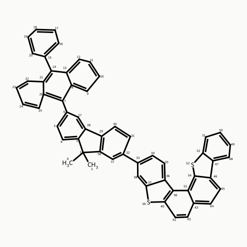 CC1(C)c2ccc(-c3c4ccccc4c(-c4ccccc4)c4ccccc34)cc2-c2ccc(-c3ccc4c(c3)sc3ccc5ccc6c7ccccc7sc6c5c34)cc21